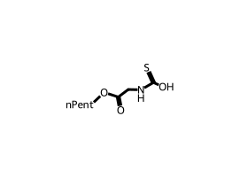 CCCCCOC(=O)CNC(O)=S